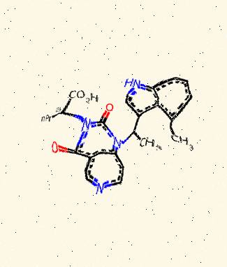 CCC[C@@H](C(=O)O)n1c(=O)c2cnccc2n(C(C)c2c[nH]c3cccc(C)c23)c1=O